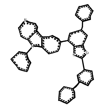 c1ccc(-c2cccc(-c3nc4c(-c5ccc6c(c5)c5cnccc5n6-c5ccccc5)cc(-c5ccccc5)cc4o3)c2)cc1